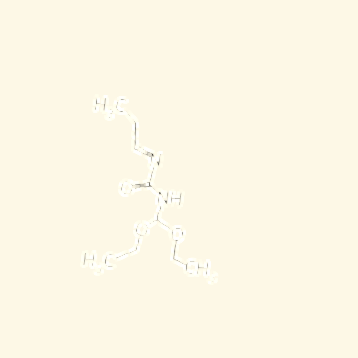 CCC=NC(=O)NC(OCC)OCC